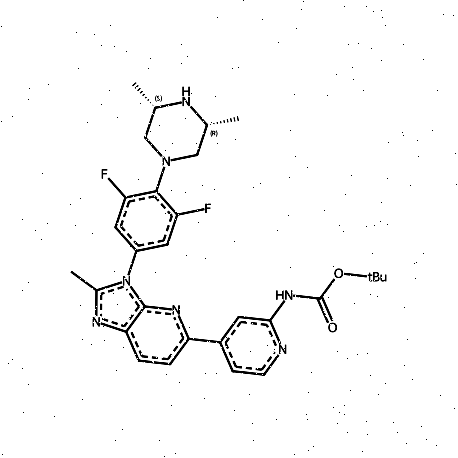 Cc1nc2ccc(-c3ccnc(NC(=O)OC(C)(C)C)c3)nc2n1-c1cc(F)c(N2C[C@@H](C)N[C@@H](C)C2)c(F)c1